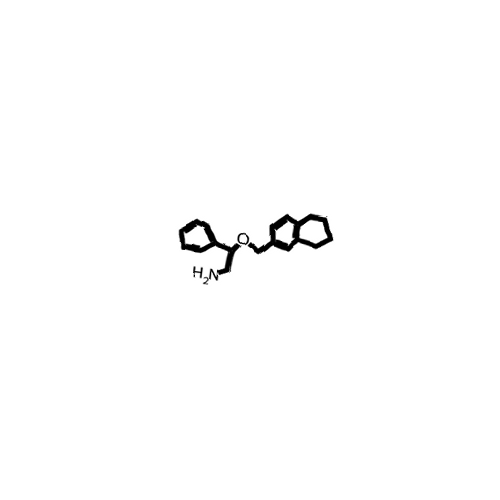 NCC(OCc1ccc2c(c1)CCCC2)c1ccccc1